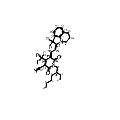 CCCCC(CC)CN1C(=O)C(C#N)=C(C(F)(F)F)/C(=C/C=C2/N3CCCc4cccc(c43)C2(C)C)C1=O